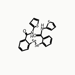 O=C(Nc1cccs1)c1ccccc1[Se][Se]c1ccccc1C(=O)Nc1cccs1